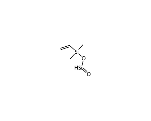 C=C[Si](C)(C)O[SiH]=O